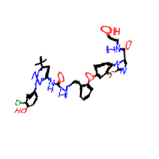 CC(C)(C)c1cc(NC(=O)NCc2ccccc2Oc2ccc3c(c2)sc2ncc(C(=O)NCCO)n23)n(-c2ccc(O)c(Cl)c2)n1